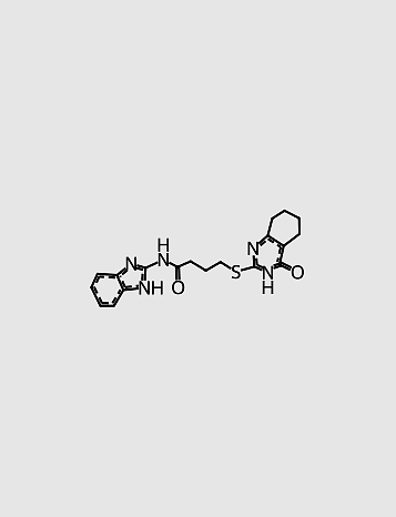 O=C(CCCSc1nc2c(c(=O)[nH]1)CCCC2)Nc1nc2ccccc2[nH]1